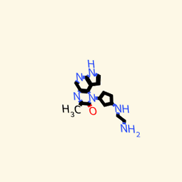 Cc1nc2cnc3[nH]ccc3c2n(C2CCC(NCCN)C2)c1=O